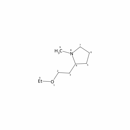 CCOCCC1CCCN1C